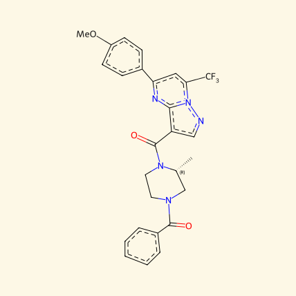 COc1ccc(-c2cc(C(F)(F)F)n3ncc(C(=O)N4CCN(C(=O)c5ccccc5)C[C@H]4C)c3n2)cc1